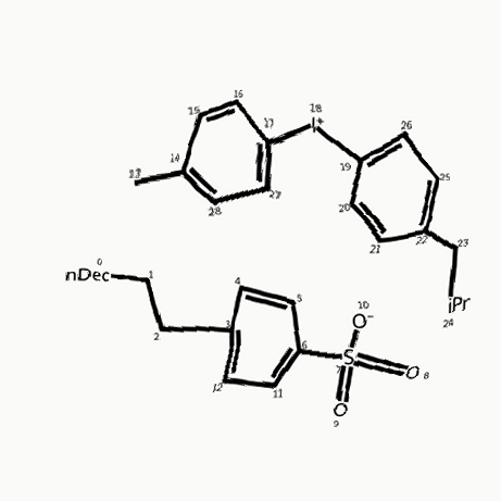 CCCCCCCCCCCCc1ccc(S(=O)(=O)[O-])cc1.Cc1ccc([I+]c2ccc(CC(C)C)cc2)cc1